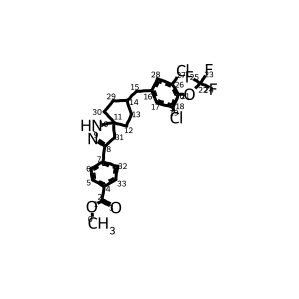 COC(=O)c1ccc(C2=NNC3(CCC(Cc4cc(Cl)c(OC(F)(F)F)c(Cl)c4)CC3)C2)cc1